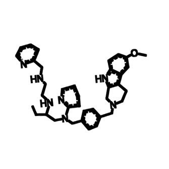 CCC(CN(Cc1ccc(CN2CCc3c([nH]c4ccc(OC)cc34)C2)cc1)c1ccccn1)NCCNCc1ccccn1